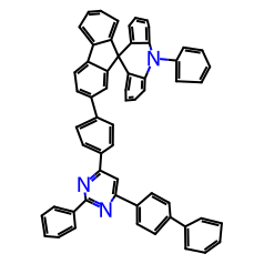 c1ccc(-c2ccc(-c3cc(-c4ccc(-c5ccc6c(c5)C5(c7ccccc7-6)c6ccccc6N(c6ccccc6)c6ccccc65)cc4)nc(-c4ccccc4)n3)cc2)cc1